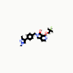 Cc1nn(C)cc1-c1ccc(CN2Cc3ccnc(OCC(C)(C)F)c3C2=O)cc1